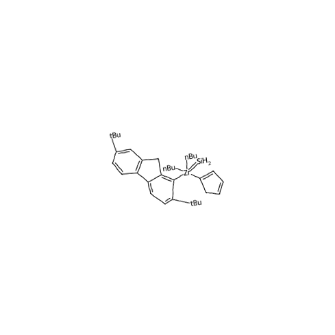 CCC[CH2][Zr](=[SiH2])([CH2]CCC)([C]1=CC=CC1)[c]1c(C(C)(C)C)ccc2c1Cc1cc(C(C)(C)C)ccc1-2